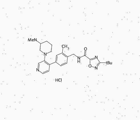 CNC1CCCN(c2cnccc2-c2ccc(CNC(=O)c3nc(C(C)(C)C)no3)c(C)c2)C1.Cl